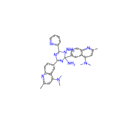 Cc1cc(N(C)C)c2cc(C3=NC(N)(c4ccc5nc(C)cc(N(C)C)c5c4)N(N)C(c4ccccn4)=N3)ccc2n1